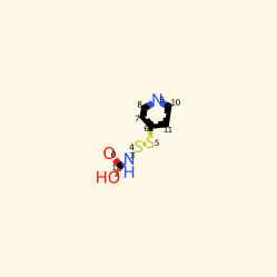 O=C(O)NSSc1ccncc1